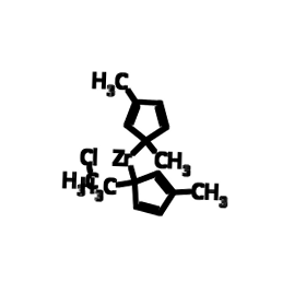 CC1=C[C](C)([Zr][C]2(C)C=CC(C)=C2)C=C1.CCl